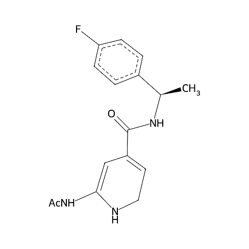 CC(=O)NC1=CC(C(=O)N[C@H](C)c2ccc(F)cc2)=CCN1